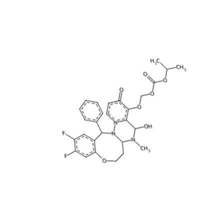 CC(C)OC(=O)OCOc1c2n(ccc1=O)N1C(c3ccccc3)c3cc(F)c(F)cc3OCCC1N(C)C2O